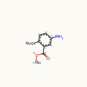 CSc1ccc(N)cc1C(=O)OC(C)(C)C